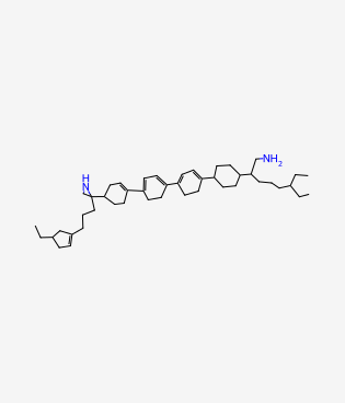 CCC(CC)CCCC(CN)C1CCC(C2=CC=C(C3=CC=C(C4=CCC(C5(CCCC6=CCC(CC)C6)CN5)CC4)CC3)CC2)CC1